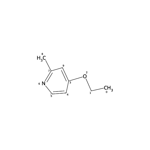 CCOc1c[c]nc(C)c1